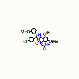 COc1cccc([C@@H]2N=C3c4c(OC(C)C)cc(OC)c5c4N(CC(=O)N5)C(=O)N3C2c2ccc(Cl)cc2)c1